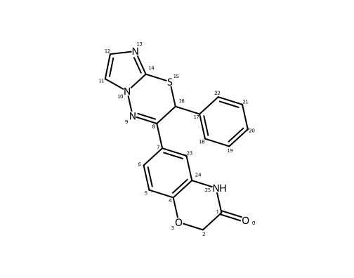 O=C1COc2ccc(C3=Nn4ccnc4SC3c3ccccc3)cc2N1